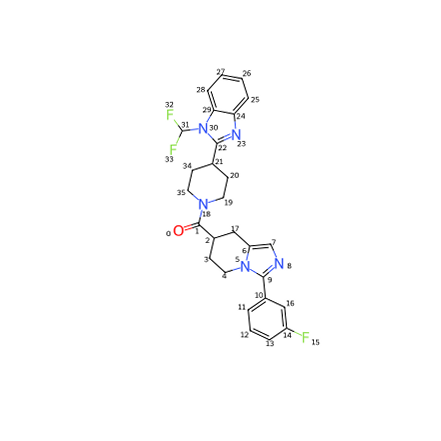 O=C(C1CCn2c(cnc2-c2cccc(F)c2)C1)N1CCC(c2nc3ccccc3n2C(F)F)CC1